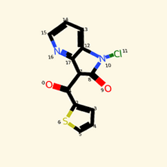 O=C(c1cccs1)C1C(=O)N(Cl)c2cccnc21